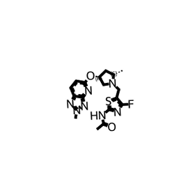 CC(=O)Nc1nc(F)c(CN2C[C@H](Oc3ccc4nn(C)nc4n3)C[C@@H]2C)s1